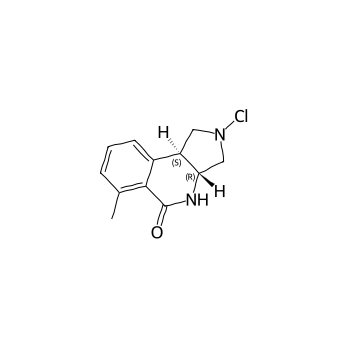 Cc1cccc2c1C(=O)N[C@H]1CN(Cl)C[C@H]21